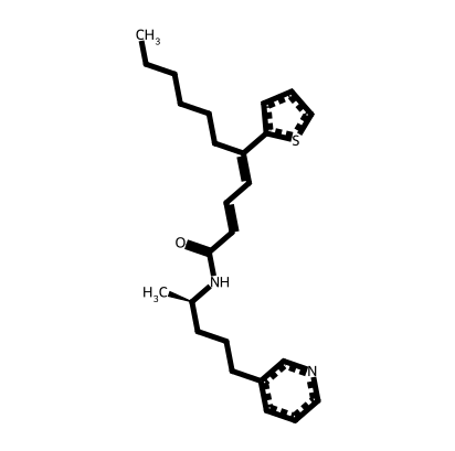 CCCCCC/C(=C\C=C\C(=O)N[C@H](C)CCCc1cccnc1)c1cccs1